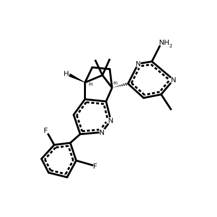 Cc1cc([C@]23CC[C@@H](c4cc(-c5c(F)cccc5F)nnc42)C3(C)C)nc(N)n1